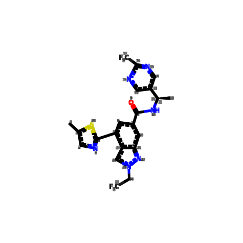 Cc1cnc(-c2cc(C(=O)N[C@H](C)c3cnc(C(F)(F)F)nc3)cc3nn(CC(F)(F)F)cc23)s1